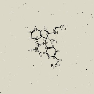 C[C@@](C(=O)NCC(F)(F)F)(c1cncnc1)N(C(=O)[C@H](F)Cl)c1ccc(OC(F)(F)F)cc1